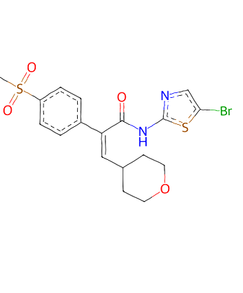 CS(=O)(=O)c1ccc(C(=CC2CCOCC2)C(=O)Nc2ncc(Br)s2)cc1